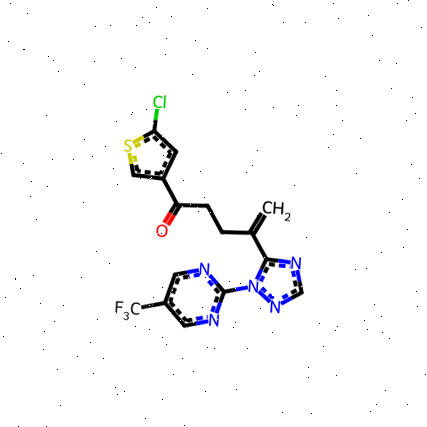 C=C(CCC(=O)c1csc(Cl)c1)c1ncnn1-c1ncc(C(F)(F)F)cn1